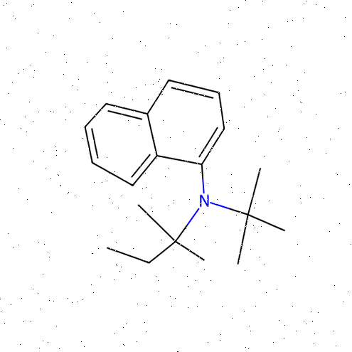 CCC(C)(C)N(c1cccc2ccccc12)C(C)(C)C